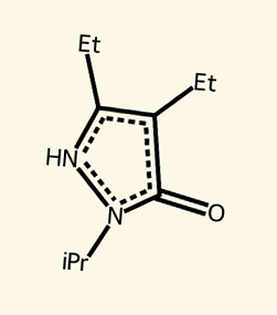 CCc1[nH]n(C(C)C)c(=O)c1CC